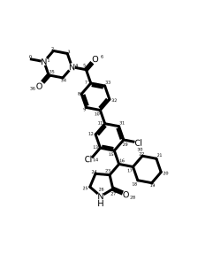 CN1CCN(C(=O)c2ccc(-c3cc(Cl)c(C(C4CCCCC4)C4CCNC4=O)c(Cl)c3)cc2)CC1=O